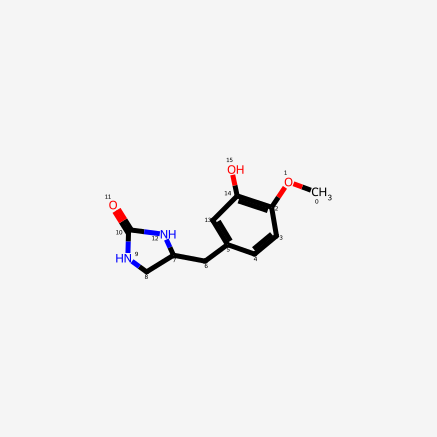 COc1ccc(CC2CNC(=O)N2)cc1O